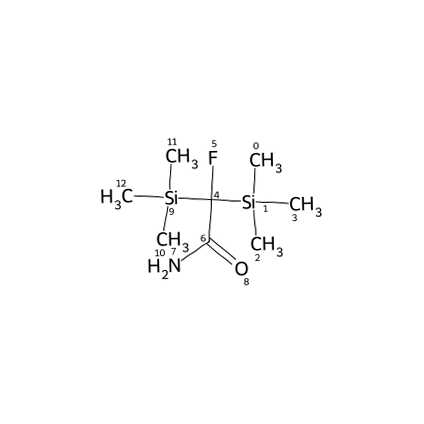 C[Si](C)(C)C(F)(C(N)=O)[Si](C)(C)C